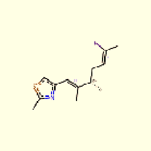 C/C(I)=C/C[C@H](C)/C(C)=C/c1csc(C)n1